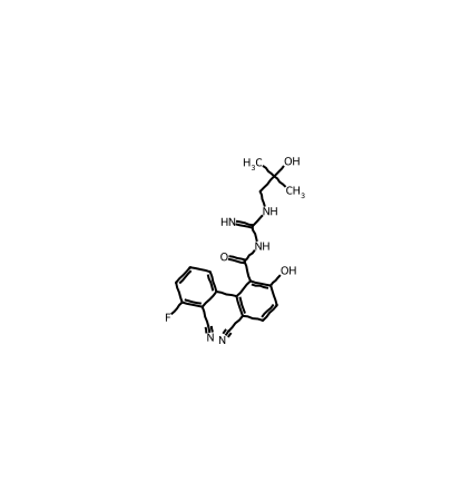 CC(C)(O)CNC(=N)NC(=O)c1c(O)ccc(C#N)c1-c1cccc(F)c1C#N